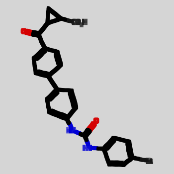 CCc1ccc(NC(=O)Nc2ccc(-c3ccc(C(=O)C4CC4C(=O)O)cc3)cc2)cc1